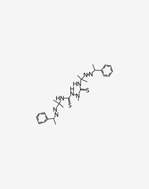 CC(N=NC(C)(C)NC(=S)NN(C)C(=S)NC(C)(C)N=NC(C)c1ccccc1)c1ccccc1